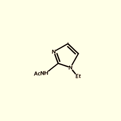 CCn1c[c]nc1NC(C)=O